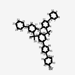 CC1(C)c2cc(-c3ccccc3)ccc2N2c3ccc(-c4ccccc4)cc3C(C)(C)c3cc(-c4ccc(-c5ccc(Br)cc5)cc4)cc1c32